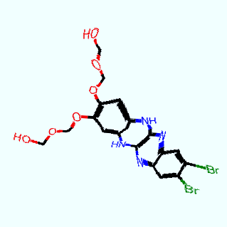 OCOCOc1cc2c(cc1OCOCO)Nc1nc3cc(Br)c(Br)cc3nc1N2